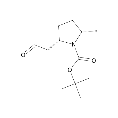 C[C@H]1CC[C@@H](CC=O)N1C(=O)OC(C)(C)C